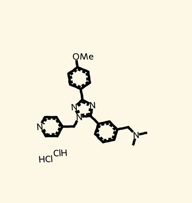 COc1ccc(-c2nc(-c3cccc(CN(C)C)c3)n(Cc3ccncc3)n2)cc1.Cl.Cl